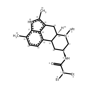 CCCN1C[C@@H](NC(=O)N(CC)CC)CC2c3ccc(C)c4[nH]c(C)c(c34)C[C@H]21